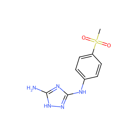 CS(=O)(=O)c1ccc(Nc2n[nH]c(N)n2)cc1